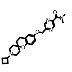 CN(C)C(=O)c1cnc(COc2ccc3c(c2)CCC2(CCN(C4CCC4)CC2)O3)cn1